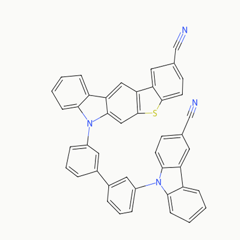 N#Cc1ccc2sc3cc4c(cc3c2c1)c1ccccc1n4-c1cccc(-c2cccc(-n3c4ccccc4c4cc(C#N)ccc43)c2)c1